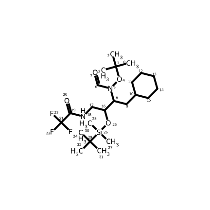 CC(C)(C)ON(C=O)C(CC1CCCCC1)C(CNC(=O)C(F)(F)F)O[Si](C)(C)C(C)(C)C